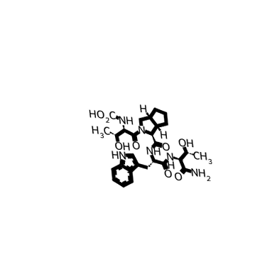 C[C@@H](O)[C@H](NC(=O)[C@H](Cc1c[nH]c2ccccc12)NC(=O)[C@@H]1[C@H]2CCC[C@H]2CN1C(=O)[C@@H](NC(=O)O)[C@@H](C)O)C(N)=O